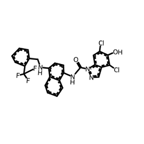 O=C(Nc1ccc(NCc2ccccc2C(F)(F)F)c2ccccc12)n1ncc2c(Cl)c(O)c(Cl)cc21